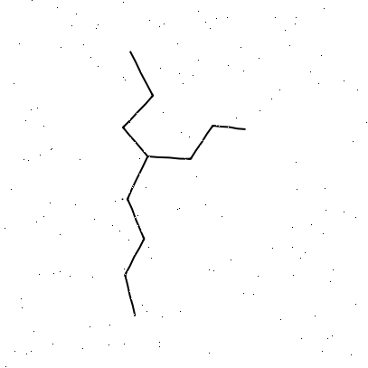 CCC[CH]C(CCC)CCC